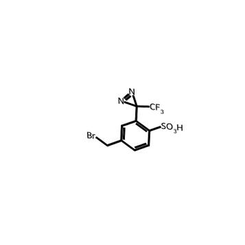 O=S(=O)(O)c1ccc(CBr)cc1C1(C(F)(F)F)N=N1